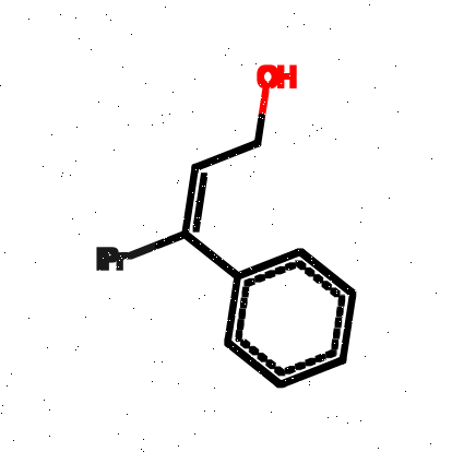 CC(C)/C(=C/CO)c1ccccc1